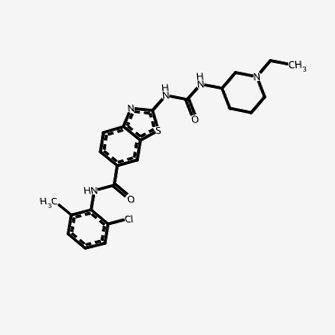 CCN1CCCC(NC(=O)Nc2nc3ccc(C(=O)Nc4c(C)cccc4Cl)cc3s2)C1